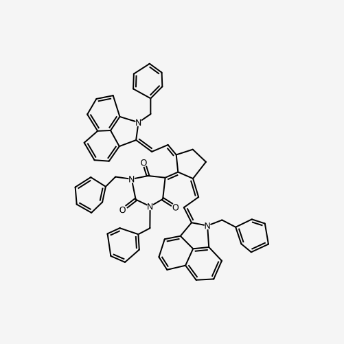 O=C1C(=C2/C(=C\C=c3\c4cccc5cccc(c54)n3Cc3ccccc3)CC/C2=C/C=c2/c3cccc4cccc(c43)n2Cc2ccccc2)C(=O)N(Cc2ccccc2)C(=O)N1Cc1ccccc1